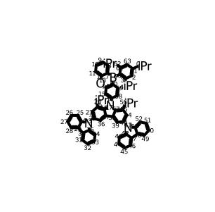 CC(C)c1cc(C(C)C)c(B2c3ccccc3Oc3cc(-n4c5c(C(C)C)cc(-n6c7ccccc7c7ccccc76)cc5c5cc(-n6c7ccccc7c7ccccc76)cc(C(C)C)c54)ccc32)c(C(C)C)c1